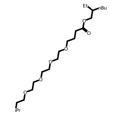 CCCCC(CC)COC(=O)CCCOCCOCCOCCOCCC(C)C